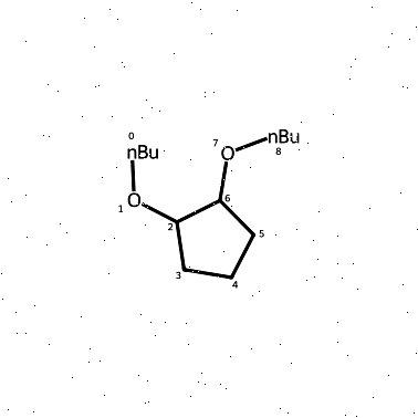 CCCCOC1CCCC1OCCCC